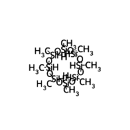 C[SiH]1O[SiH](C)O[SiH](C)O[SiH](C)O[SiH](C)O[SiH](C)O[SiH](C)O[SiH](C)O1